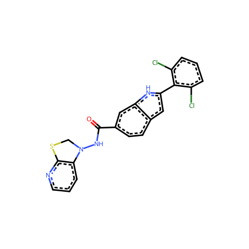 O=C(NN1CSc2ncccc21)c1ccc2cc(-c3c(Cl)cccc3Cl)[nH]c2c1